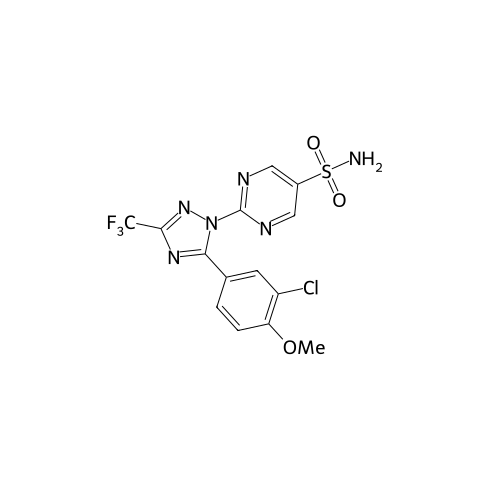 COc1ccc(-c2nc(C(F)(F)F)nn2-c2ncc(S(N)(=O)=O)cn2)cc1Cl